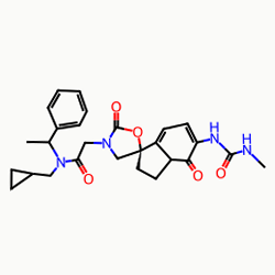 CNC(=O)NC1=CC=C2C(CC[C@]23CN(CC(=O)N(CC2CC2)C(C)c2ccccc2)C(=O)O3)C1=O